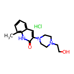 Cc1cccc2cc(N3CCN(CCO)CC3)c(=O)[nH]c12.Cl